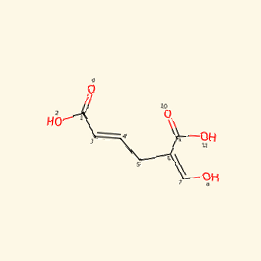 O=C(O)C=CCC(=CO)C(=O)O